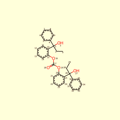 CCC(O)(c1ccccc1)c1ccccc1OC(=O)Oc1ccccc1C(O)(CC)c1ccccc1